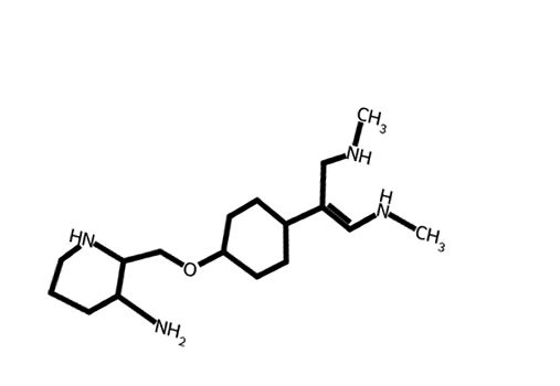 CN/C=C(\CNC)C1CCC(OCC2NCCCC2N)CC1